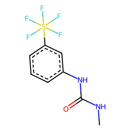 CNC(=O)Nc1cccc(S(F)(F)(F)(F)F)c1